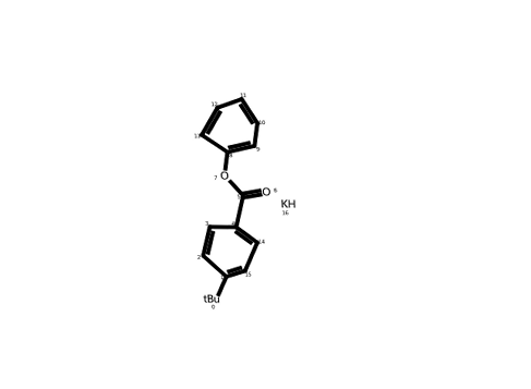 CC(C)(C)c1ccc(C(=O)Oc2ccccc2)cc1.[KH]